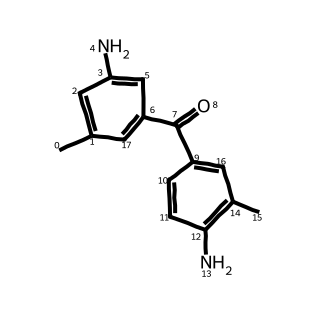 Cc1cc(N)cc(C(=O)c2ccc(N)c(C)c2)c1